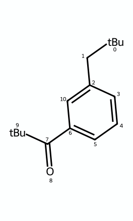 CC(C)(C)Cc1cccc(C(=O)C(C)(C)C)c1